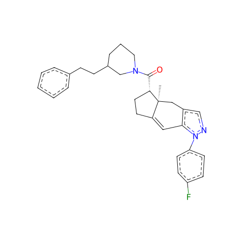 C[C@]12Cc3cnn(-c4ccc(F)cc4)c3C=C1CC[C@@H]2C(=O)N1CCCC(CCc2ccccc2)C1